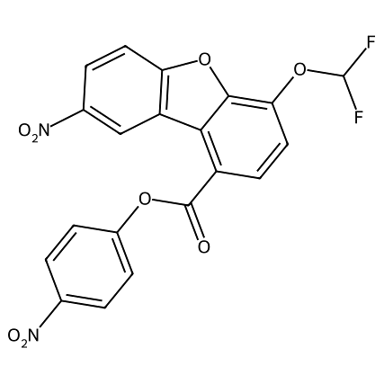 O=C(Oc1ccc([N+](=O)[O-])cc1)c1ccc(OC(F)F)c2oc3ccc([N+](=O)[O-])cc3c12